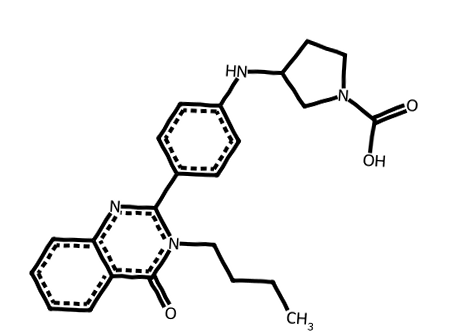 CCCCn1c(-c2ccc(NC3CCN(C(=O)O)C3)cc2)nc2ccccc2c1=O